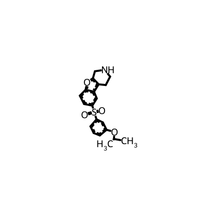 CC(C)Oc1cccc(S(=O)(=O)c2ccc3oc4c(c3c2)CCNC4)c1